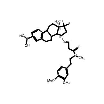 COc1ccc(CCN(C)C(=O)CCC[C@H]2CC(F)(F)[C@@]3(C)CCC4c5ccc(B(O)O)cc5CCC4C23)cc1OC